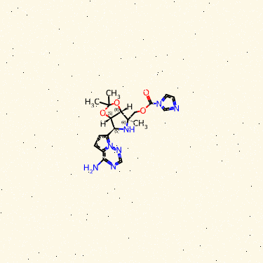 CC1(C)O[C@H]2[C@H](c3ccc4c(N)ncnn34)N[C@](C)(COC(=O)n3ccnc3)[C@H]2O1